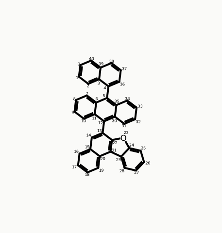 c1ccc2c(-c3c4ccccc4c(-c4cc5ccccc5c5c4oc4ccccc45)c4ccccc34)cccc2c1